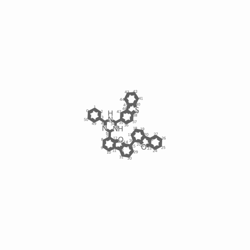 c1ccc(C2=NC(c3cccc4c3oc3c(-c5cccc6c5oc5ccccc56)cccc34)NC(c3ccc4sc5ccccc5c4c3)N2)cc1